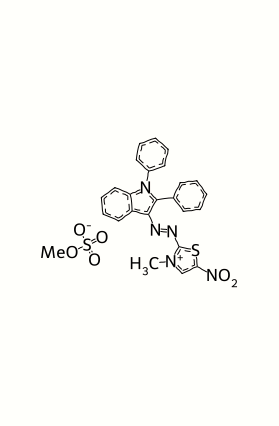 COS(=O)(=O)[O-].C[n+]1cc([N+](=O)[O-])sc1N=Nc1c(-c2ccccc2)n(-c2ccccc2)c2ccccc12